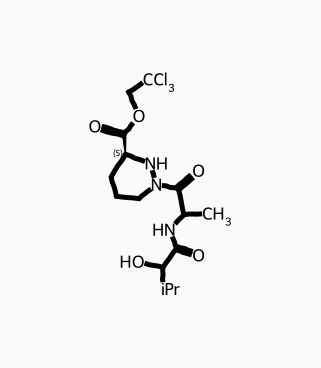 CC(NC(=O)C(O)C(C)C)C(=O)N1CCC[C@@H](C(=O)OCC(Cl)(Cl)Cl)N1